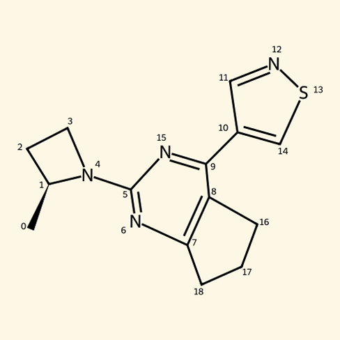 C[C@H]1CCN1c1nc2c(c(-c3cnsc3)n1)CCC2